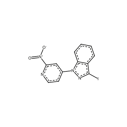 O=[N+]([O-])c1cc(-n2nc(I)c3ccccc32)ccn1